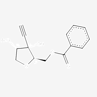 C#C[C@]1(O)[C@@H](OC(C)=O)CO[C@@H]1COC(=O)c1ccccc1